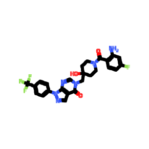 Nc1cc(F)ccc1C(=O)N1CCC(O)(Cn2cnc3c(cnn3-c3ccc(C(F)(F)F)cc3)c2=O)CC1